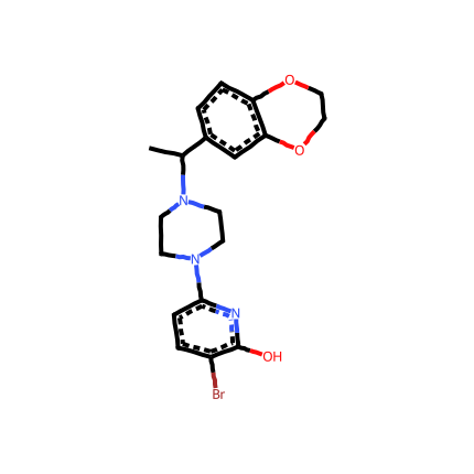 CC(c1ccc2c(c1)OCCO2)N1CCN(c2ccc(Br)c(O)n2)CC1